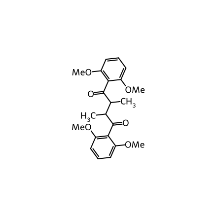 COc1cccc(OC)c1C(=O)C(C)C(C)C(=O)c1c(OC)cccc1OC